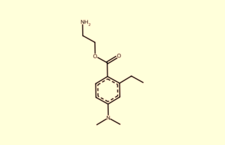 CCc1cc(N(C)C)ccc1C(=O)OCCN